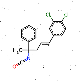 CC(CC=Cc1ccc(Cl)c(Cl)c1)(N=C=O)c1ccccc1